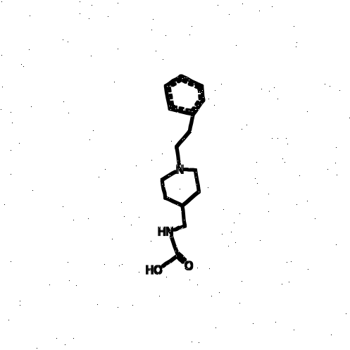 O=C(O)NCC1CCN(CCc2ccccc2)CC1